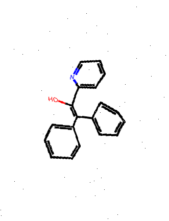 OC(=C(c1ccccc1)c1ccccc1)c1ccccn1